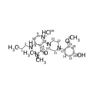 CCCNc1ccnc(N2CCN(c3ccc(O)cc3OC)CC2)c1C(=O)N(C)C.Cl